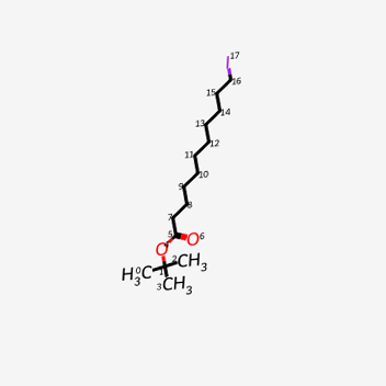 CC(C)(C)OC(=O)CCCCCCCCCCI